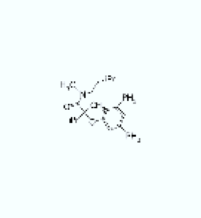 CC(C)CCN(C)C(=O)C(C)(Oc1cc(P)cc(P)c1)C(C)C